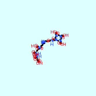 O=C(O)CC[C@H](NC(=O)N[C@@H](CCCCN(CC(=O)O)C(=O)CCc1cn(CCOCCNC(=O)CN2CCN(CC(=O)O)CCN(CC(=O)O)CCN(CC(=O)O)CC2)nn1)C(=O)O)C(=O)O